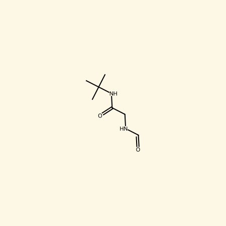 CC(C)(C)NC(=O)CNC=O